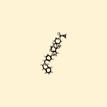 O=C(C1CC1)N1CCC(O)(Cn2cnc3c(cnn3-c3ccc(CN4CCc5ccccc5C4)cc3)c2=O)CC1